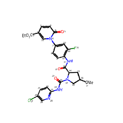 CCOC(=O)c1ccc(=O)n(-c2ccc(NC(=O)C3CC(OC)CN3C(=O)Nc3ccc(Cl)cn3)c(F)c2)c1